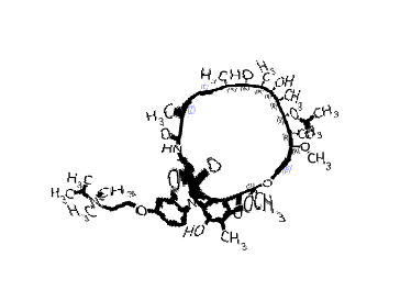 CO[C@H]1/C=C/O[C@@]2(C)Oc3c(C)c(O)c4c(=O)c(c5oc6cc(OCC[N+](C)(C)C(C)C)ccc6nc-5c4c3C2=O)NC(=O)/C(C)=C\C=C\[C@H](C)[C@H](O)[C@@H](C)[C@@H](O)[C@@H](C)[C@H](OC(C)=O)[C@@H]1C